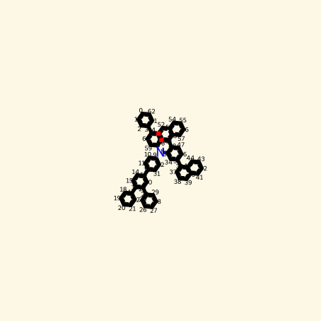 c1ccc(-c2ccc(N(c3ccc(-c4ccc(-c5ccccc5)c(-c5ccccc5)c4)cc3)c3cc(-c4cccc5ccccc45)ccc3-c3cccc4ccccc34)cc2)cc1